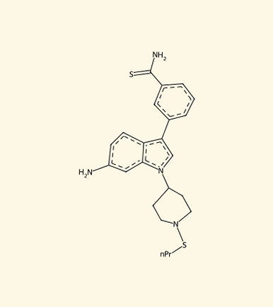 CCCSN1CCC(n2cc(-c3cccc(C(N)=S)c3)c3ccc(N)cc32)CC1